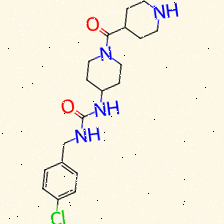 O=C(NCc1ccc(Cl)cc1)NC1CCN(C(=O)C2CCNCC2)CC1